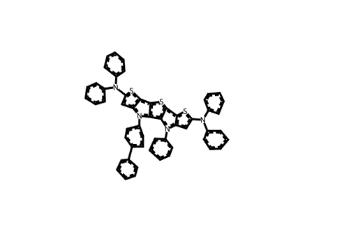 c1ccc(-c2ccc(-n3c4cc(N(c5ccccc5)c5ccccc5)sc4c4sc5c6sc(N(c7ccccc7)c7ccccc7)cc6n(-c6ccccc6)c5c43)cc2)cc1